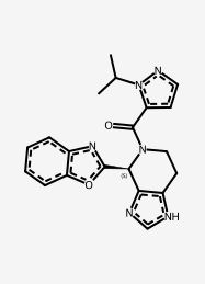 CC(C)n1nccc1C(=O)N1CCc2[nH]cnc2[C@H]1c1nc2ccccc2o1